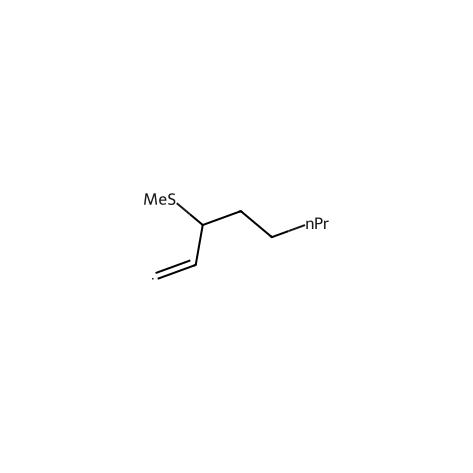 [CH]=CC(CCCCC)SC